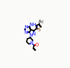 C=CC(=O)N1CCC[C@@H](n2nc(-c3cc(C(C)=O)cs3)c3c(N)ncnc32)C1